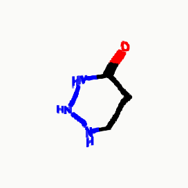 O=C1CCNNN1